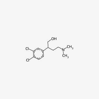 CN(C)CCC(CO)c1ccc(Cl)c(Cl)c1